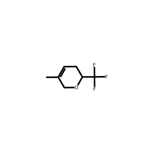 CC1=CCC(C(F)(F)F)OC1